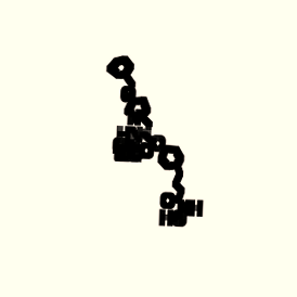 CC(C)(C)OC(=O)N[C@H](Cc1ccc(OCc2ccccc2)cn1)C(O)Oc1ccc(CCCC(=O)NO)cc1